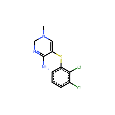 CN1C=C(Sc2cccc(Cl)c2Cl)C(N)=NC1